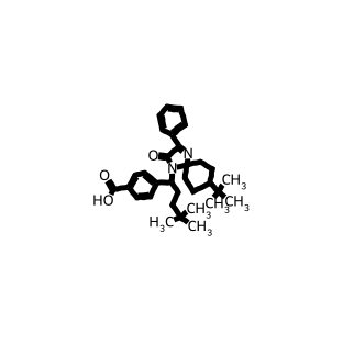 CC(C)(C)CCC(c1ccc(C(=O)O)cc1)N1C(=O)C(c2ccccc2)=NC12CCC(C(C)(C)C)CC2